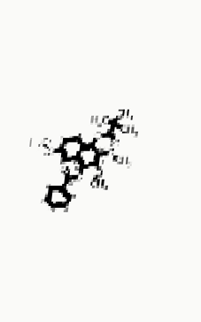 COc1ccc2c(OC(=O)C(C)(C)C)c(OC)c(OC)c(OC(=O)c3ccccc3)c2c1